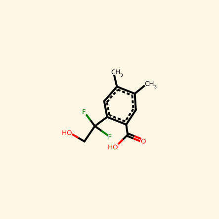 Cc1cc(C(=O)O)c(C(F)(F)CO)cc1C